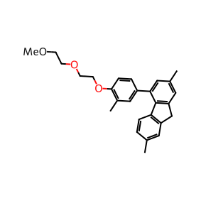 COCCOCCOc1ccc(-c2cc(C)cc3c2-c2ccc(C)cc2C3)cc1C